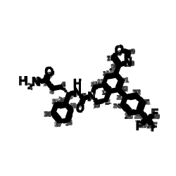 NC(=O)CC[C@H](NC(=O)N1CCc2c(cc(-c3cocn3)cc2-c2ccc(C(F)(F)F)cc2)C1)c1ccccc1